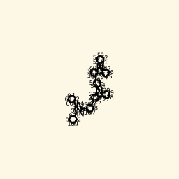 c1ccc(-c2cc(-c3ccccc3)nc(-c3cccc(-c4ccc5c(c4)c4ccccc4n5-c4ccc(-c5cccc6c5c5ccccc5n6-c5ccccc5)cc4)c3)n2)cc1